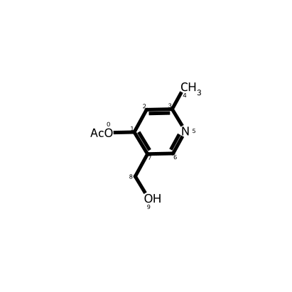 CC(=O)Oc1cc(C)ncc1CO